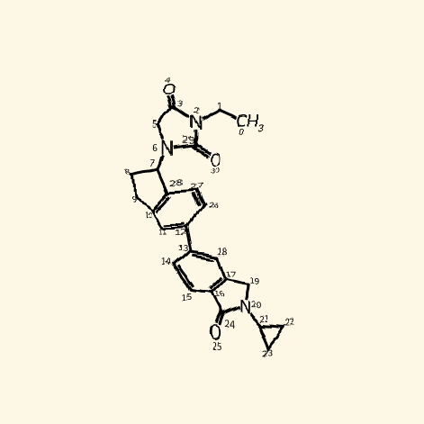 CCN1C(=O)CN(C2CCc3cc(-c4ccc5c(c4)CN(C4CC4)C5=O)ccc32)C1=O